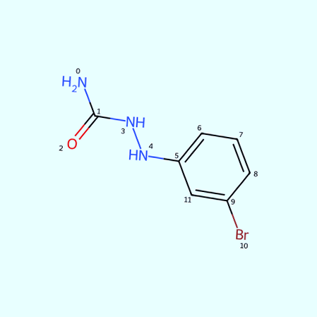 NC(=O)NNc1cccc(Br)c1